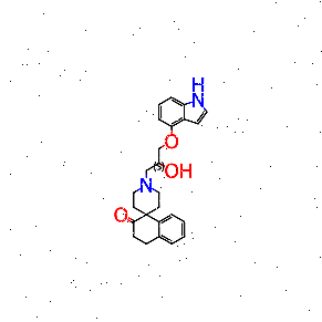 O=C1CCc2ccccc2C12CCN(C[C@H](O)COc1cccc3[nH]ccc13)CC2